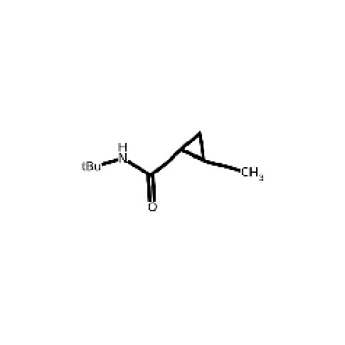 CC1CC1C(=O)NC(C)(C)C